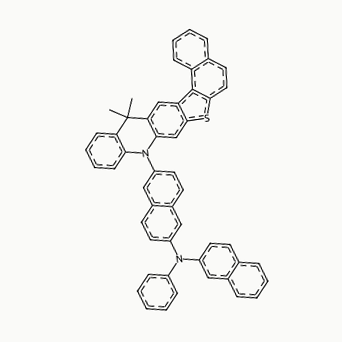 CC1(C)c2ccccc2N(c2ccc3cc(N(c4ccccc4)c4ccc5ccccc5c4)ccc3c2)c2cc3sc4ccc5ccccc5c4c3cc21